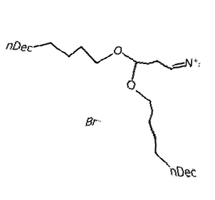 CCCCCCCCCCCCCCOC(CC=[N+])OCCCCCCCCCCCCCC.[Br-]